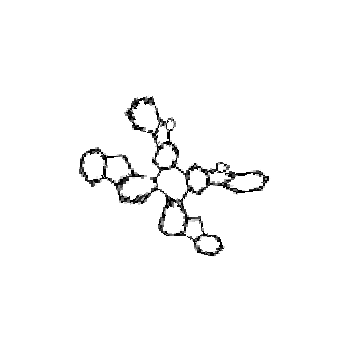 c1ccc2c(c1)Cc1c-2ccc2c1-c1cc3c(cc1-c1cc4oc5ccccc5c4cc1-c1c-2ccc2c1Cc1ccccc1-2)oc1ccccc13